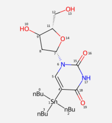 CCC[CH2][Sn]([CH2]CCC)([CH2]CCC)[c]1cn([C@@H]2CC(O)[C@H](CO)O2)c(=O)[nH]c1=O